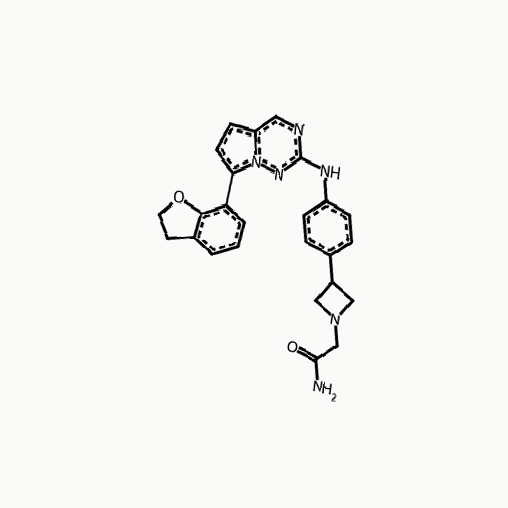 NC(=O)CN1CC(c2ccc(Nc3ncc4ccc(-c5cccc6c5OCC6)n4n3)cc2)C1